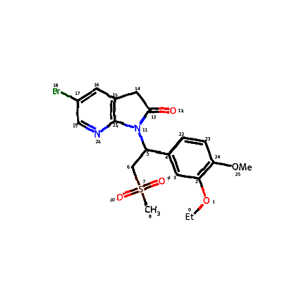 CCOc1cc(C(CS(C)(=O)=O)N2C(=O)Cc3cc(Br)cnc32)ccc1OC